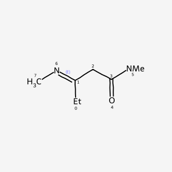 CC/C(CC(=O)NC)=N\C